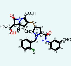 C[C@@H](O)[C@H]1C(=O)N2C(C(=O)O)=C(S[C@H]3C[C@@H](C(=O)Nc4cccc(C=O)c4)N(Cc4ccccc4F)C3)[C@H](C)[C@H]12